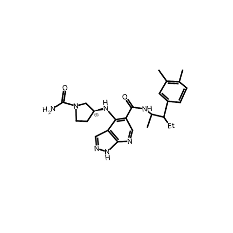 CCC(c1ccc(C)c(C)c1)C(C)NC(=O)c1cnc2[nH]ncc2c1N[C@H]1CCN(C(N)=O)C1